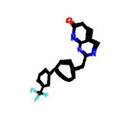 O=C1CC=c2cnc(Cc3ccc(-c4cccc(C(F)(F)F)c4)cc3)nc2=N1